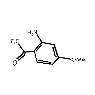 COc1ccc(C(=O)C(F)(F)F)c(N)c1